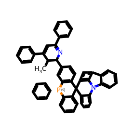 CC1C(c2ccccc2)=CC(c2ccccc2)=NC1c1ccc2c(c1)[P@](c1ccccc1)c1ccccc1C21c2ccccc2-n2c3ccccc3c3cccc1c32